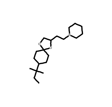 CCC(C)(C)C1CCC2(CC1)OCC(CCN1CCCCC1)O2